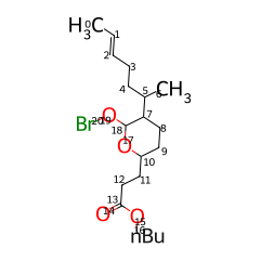 CC=CCCC(C)C1CCC(CCC(=O)OCCCC)OC1OBr